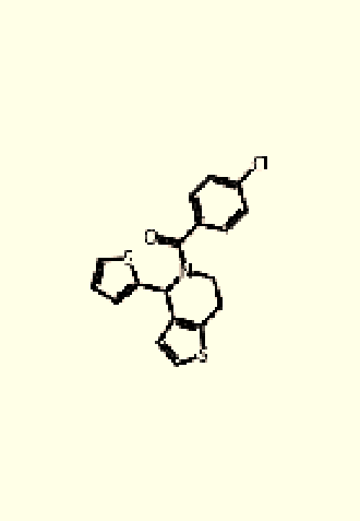 O=C(c1ccc(Cl)cc1)N1CCc2sccc2C1c1cccs1